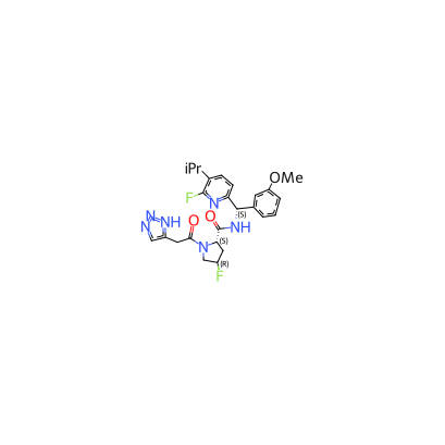 COc1cccc([C@H](NC(=O)[C@@H]2C[C@@H](F)CN2C(=O)Cc2cnn[nH]2)c2ccc(C(C)C)c(F)n2)c1